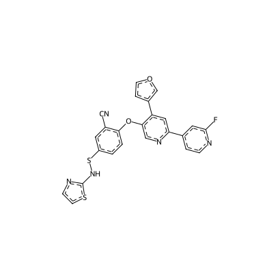 N#Cc1cc(SNc2nccs2)ccc1Oc1cnc(-c2ccnc(F)c2)cc1-c1ccoc1